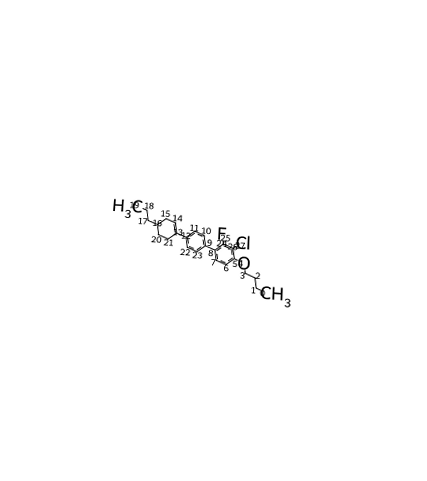 CCCCOc1ccc(-c2ccc(C3=CCC(CCC)CC3)cc2)c(F)c1Cl